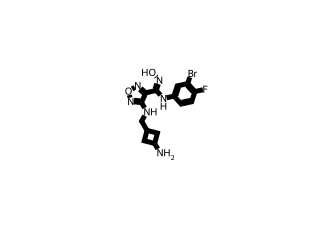 NC1CC(CNc2nonc2C(=NO)Nc2ccc(F)c(Br)c2)C1